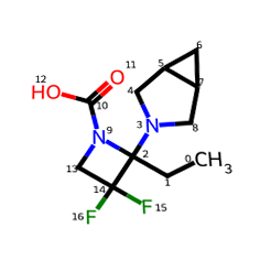 CCC1(N2CC3CC3C2)N(C(=O)O)CC1(F)F